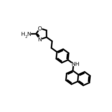 NC1=NC(CCc2ccc(Nc3cccc4ccccc34)cc2)CO1